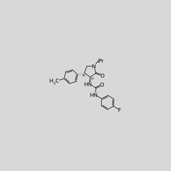 Cc1ccc([C@@H]2CN(C(C)C)C(=O)[C@H]2NC(=O)Nc2ccc(F)cc2)cc1